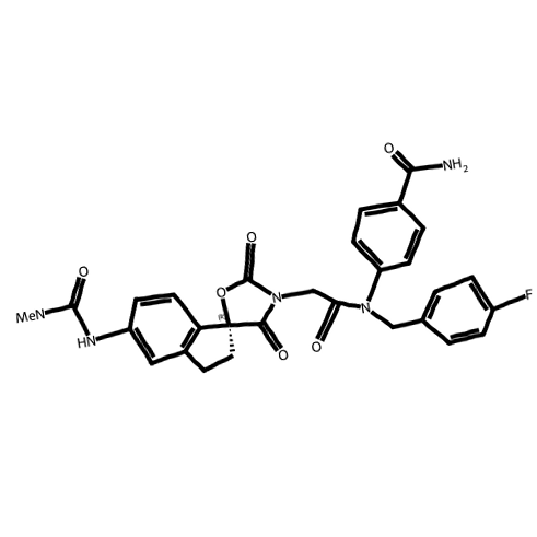 CNC(=O)Nc1ccc2c(c1)CC[C@@]21OC(=O)N(CC(=O)N(Cc2ccc(F)cc2)c2ccc(C(N)=O)cc2)C1=O